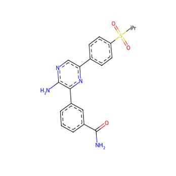 CC(C)S(=O)(=O)c1ccc(-c2cnc(N)c(-c3cccc(C(N)=O)c3)n2)cc1